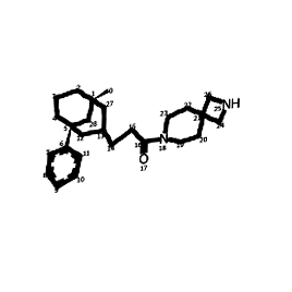 C[C@@]12CCC[C@@](c3ccccc3)(CC(CCC(=O)N3CCC4(CC3)CNC4)C1)C2